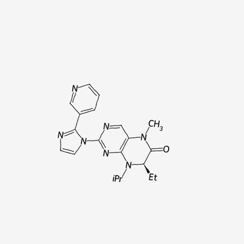 CC[C@@H]1C(=O)N(C)c2cnc(-n3ccnc3-c3cccnc3)nc2N1C(C)C